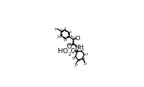 Cc1ccc(C(Cl)C(=O)NC2(C(=O)O)CCC(C)C(C)C2)cc1